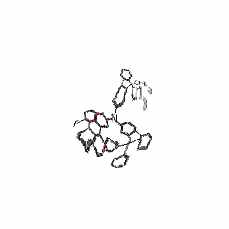 CC1(C)c2ccccc2-c2ccc(N(c3cccc(-c4cccc5cccc(-c6ccccc6F)c45)c3)c3ccc4c(c3)C(c3ccccc3)(c3ccccc3)c3ccccc3-4)cc21